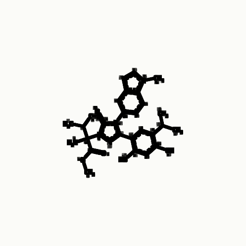 COC(=O)C(N)(C(C)C)n1nc(-c2cc(C(C)C)c(O)cc2O)n(-c2ccc3c(ccn3C)c2)c1=O